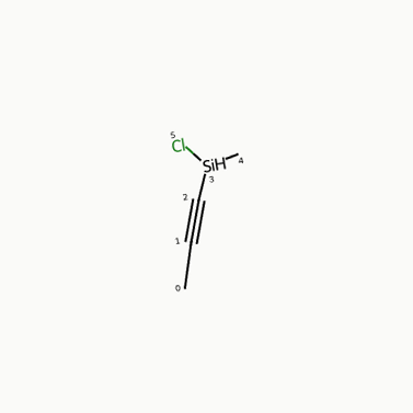 CC#C[SiH](C)Cl